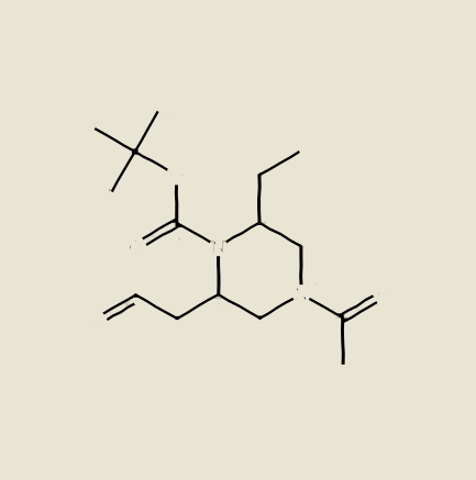 CCC1CN(C(C)=O)CC(CC=O)N1C(=O)OC(C)(C)C